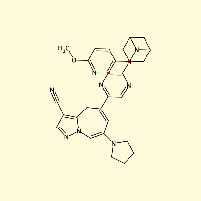 COc1ccc(CN2C3CC2CN(c2cnc(C4=CC(N5CCCC5)=Cn5ncc(C#N)c5C4)cn2)C3)cn1